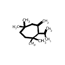 C=C(C)C1C(=C)CC(C)(C)CCC1(C)C